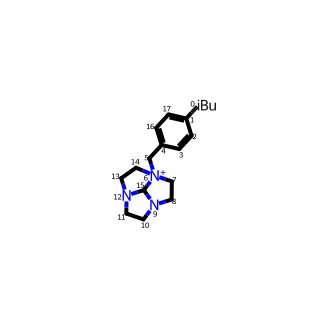 CCC(C)c1ccc(C[N+]23CCN4CCN(CC2)C43)cc1